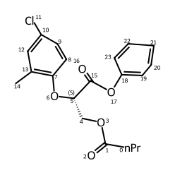 CCCC(=O)OC[C@H](Oc1ccc(Cl)cc1C)C(=O)Oc1ccccc1